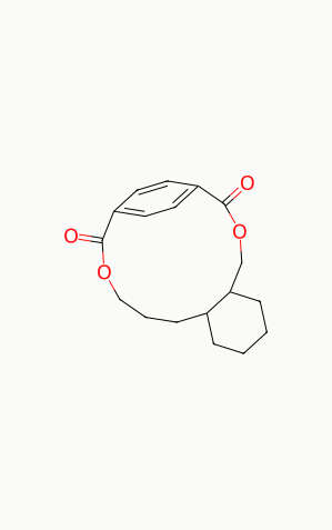 O=C1OCCCC2CCCCC2COC(=O)c2ccc1cc2